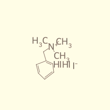 C[N+](C)(C)Cc1ccccc1.I.I.[I-]